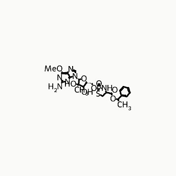 COc1nc(N)nc2c1ncn2[C@@H]1O[C@H](COP2(=O)NC(C(=O)OC(C)c3ccccc3)CS2)[C@@H](O)[C@@]1(C)O